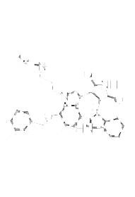 O=C1NC(=O)C(c2cn(CCCN=C=S)c3c(OCc4ccccc4)cccc23)=C1c1c[nH]c2ccccc12